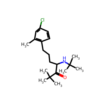 Cc1cc(Cl)ccc1CCCC(NC(C)(C)C)C(=O)C(C)(C)C